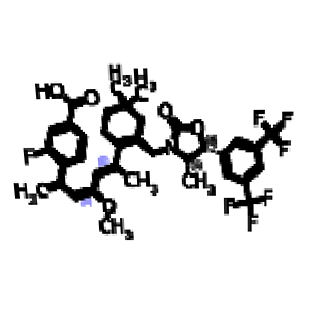 C=C(/C=C(\C=C(/C)C1=C(CN2C(=O)O[C@H](c3cc(C(F)(F)F)cc(C(F)(F)F)c3)[C@@H]2C)CC(C)(C)CC1)OC)c1ccc(C(=O)O)cc1F